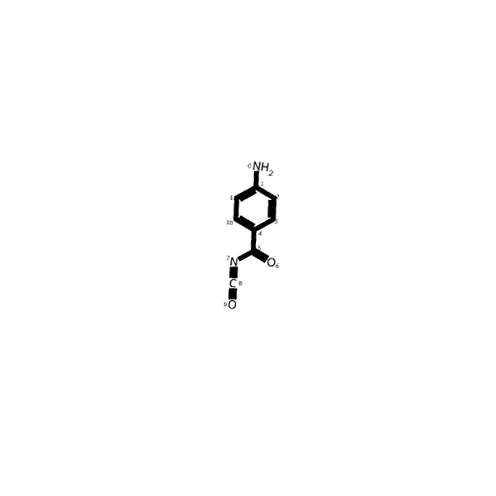 Nc1ccc(C(=O)N=C=O)cc1